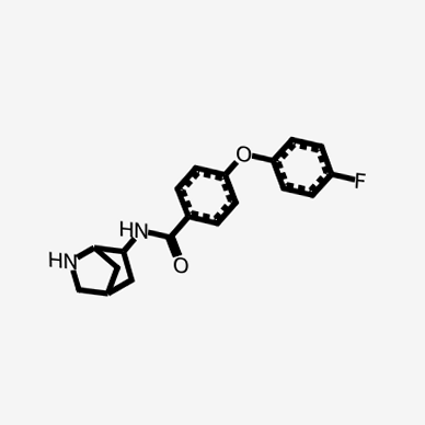 O=C(NC1CC2CNC1C2)c1ccc(Oc2ccc(F)cc2)cc1